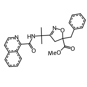 COC(=O)C1(Cc2ccccc2)CC(C(C)(C)NC(=O)c2nccc3ccccc23)=NO1